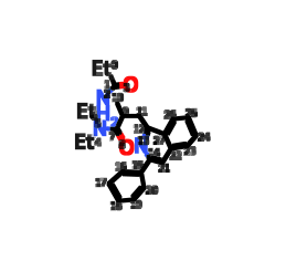 CCC(N)=O.CCN(CC)C(=O)C(C)Cc1nc(-c2ccccc2)cc2ccccc12